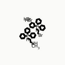 Br.Br.BrCCC[PH](c1ccccc1)(c1ccccc1)c1ccccc1.CNCCC[PH](c1ccccc1)(c1ccccc1)c1ccccc1